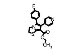 CCOC(=O)c1c(-c2ccncc2)c(-c2ccc(F)cc2)n2c1SCC2